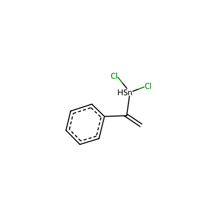 C=[C](c1ccccc1)[SnH]([Cl])[Cl]